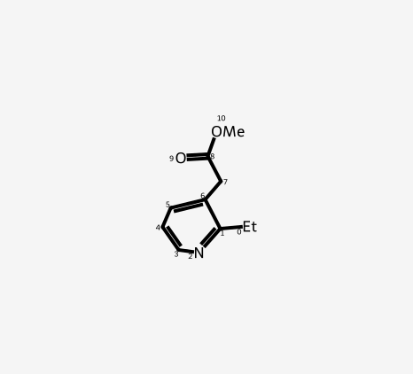 CCc1ncccc1CC(=O)OC